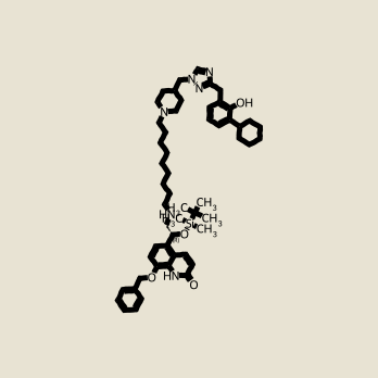 CC(C)(C)[Si](C)(C)O[C@@H](CNCCCCCCCCCN1CCC(Cn2cnc(Cc3cccc(C4CCCCC4)c3O)n2)CC1)c1ccc(OCc2ccccc2)c2[nH]c(=O)ccc12